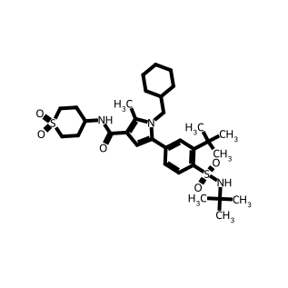 Cc1c(C(=O)NC2CCS(=O)(=O)CC2)cc(-c2ccc(S(=O)(=O)NC(C)(C)C)c(C(C)(C)C)c2)n1CC1CCCCC1